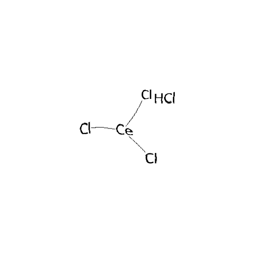 Cl.[Cl][Ce]([Cl])[Cl]